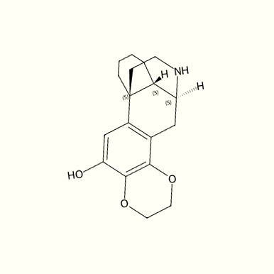 Oc1cc2c(c3c1OCCO3)C[C@@H]1NCC[C@]23CCCC[C@H]13